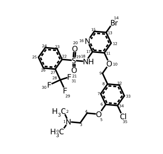 CN(C)CCOc1cc(COc2cc(Br)cnc2NS(=O)(=O)c2ccccc2C(F)(F)F)ccc1Cl